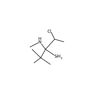 CNC([SiH3])(C(C)Cl)C(C)(C)C